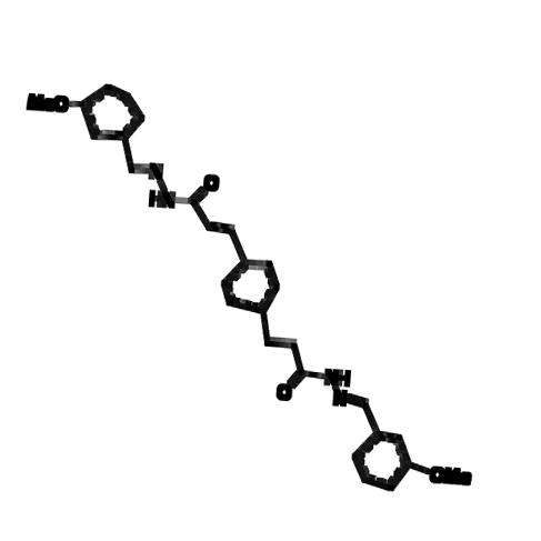 COc1cccc(/C=N/NC(=O)/C=C/c2ccc(/C=C/C(=O)N/N=C/c3cccc(OC)c3)cc2)c1